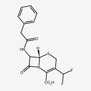 O=C(Cc1ccccc1)NC1C(=O)N2C(C(=O)O)=C(C(F)F)CS[C@@H]12